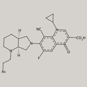 CC(=O)CCN1CCC[C@H]2CN(c3c(F)cc4c(=O)c(C(=O)O)cn(C5CC5)c4c3C#N)C[C@H]21